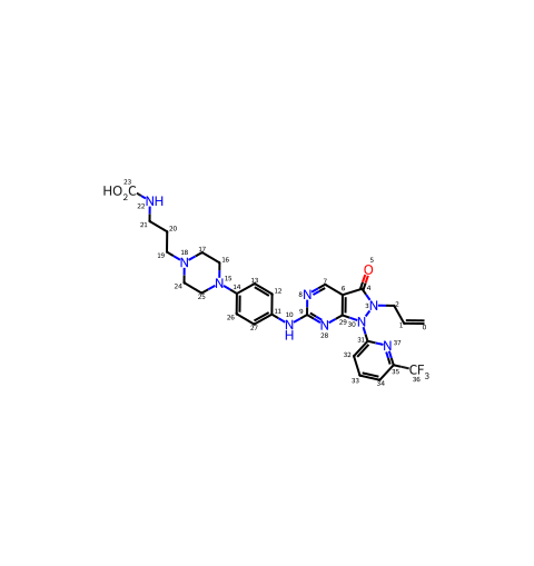 C=CCn1c(=O)c2cnc(Nc3ccc(N4CCN(CCCNC(=O)O)CC4)cc3)nc2n1-c1cccc(C(F)(F)F)n1